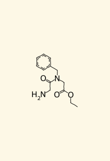 CCOC(=O)CN(Cc1ccccc1)C(=O)CN